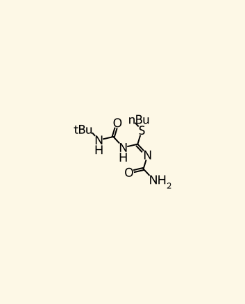 CCCCSC(=NC(N)=O)NC(=O)NC(C)(C)C